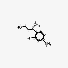 CN(CCO)c1ccc(N)cc1F